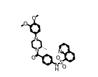 COc1ccc(N2CCN(C(=O)c3ccc(NS(=O)(=O)c4cccc5cccnc45)cc3)[C@@H](C)C2)cc1OC